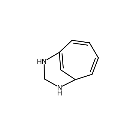 C1=CC2=CC(C=C1)NCN2